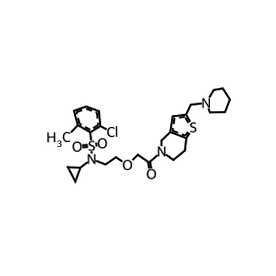 Cc1cccc(Cl)c1S(=O)(=O)N(CCOCC(=O)N1CCc2sc(CN3CCCCC3)cc2C1)C1CC1